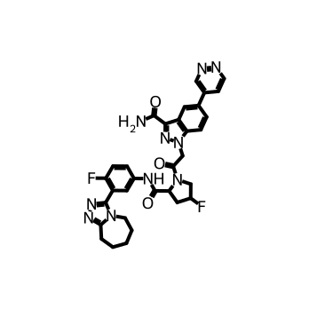 NC(=O)c1nn(CC(=O)N2CC(F)CC2C(=O)Nc2ccc(F)c(-c3nnc4n3CCCCC4)c2)c2ccc(-c3ccnnc3)cc12